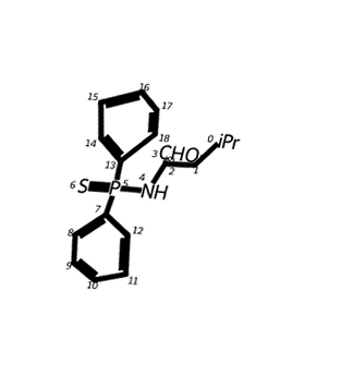 CC(C)C[C@@H]([C]=O)NP(=S)(c1ccccc1)c1ccccc1